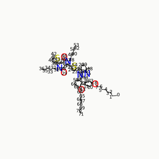 CCCCCCCCOc1cccc(-c2nc3c(C)ccc(-c4ccc(C5=C6C(=O)N(CCCCCC)C(c7ccc(C)s7)=C6C(=O)N5CCCCCC)s4)c3nc2-c2cccc(OCCCCCCCC)c2)c1